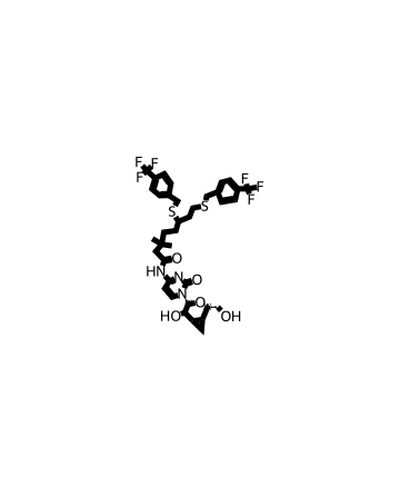 CC(C)(CCC(CCSCc1ccc(C(F)(F)F)cc1)SCc1ccc(C(F)(F)F)cc1)CC(=O)Nc1ccn([C@@H]2O[C@H](CO)C3CC3C2O)c(=O)n1